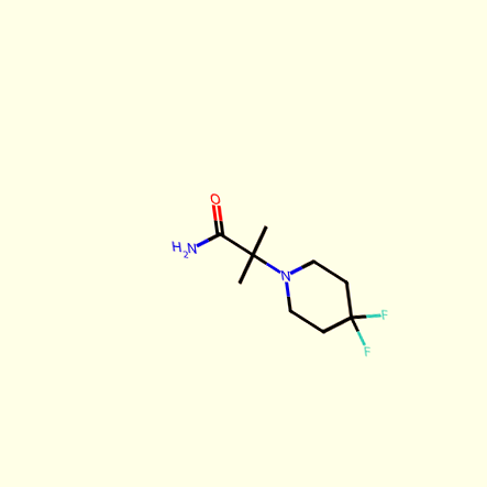 CC(C)(C(N)=O)N1CCC(F)(F)CC1